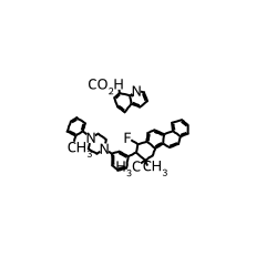 Cc1ccccc1N1CCN(c2cccc(C3C(F)c4ccc5c(ccc6ccccc65)c4CC3(C)C)c2)CC1.O=C(O)c1cccc2cccnc12